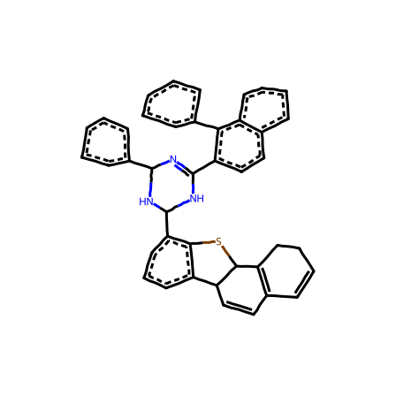 C1=CC2=C(CC1)C1Sc3c(C4NC(c5ccc6ccccc6c5-c5ccccc5)=NC(c5ccccc5)N4)cccc3C1C=C2